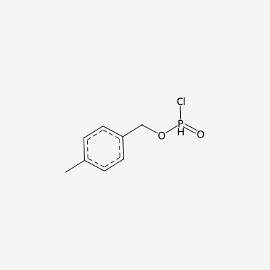 Cc1ccc(CO[PH](=O)Cl)cc1